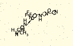 CC(C)(C#N)c1ccc(NCC#Cc2cc3cc(CNC4CCN(C(=O)Cc5ccncc5)CC4)ccc3n2CC(F)(F)F)cn1